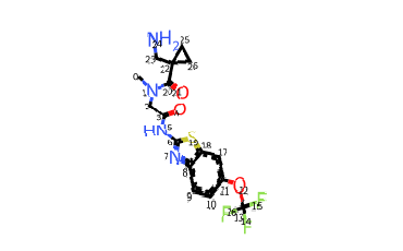 CN(CC(=O)Nc1nc2ccc(OC(F)(F)F)cc2s1)C(=O)C1(CN)CC1